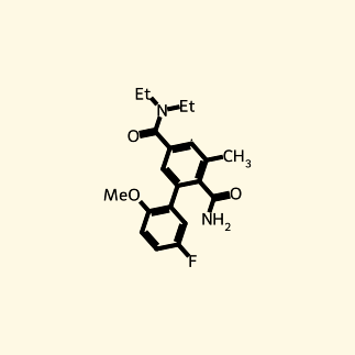 CCN(CC)C(=O)c1[c]c(C)c(C(N)=O)c(-c2cc(F)ccc2OC)c1